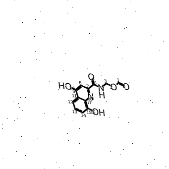 O=COCNC(=O)c1cc(O)c2cccc(O)c2n1